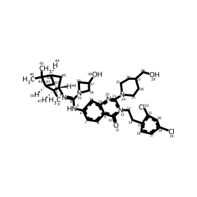 C[C@@H]1[C@@H](/N=C(/Nc2ccc3c(=O)n(CCc4ccc(Cl)cc4Cl)c(N4CCC(CO)CC4)nc3c2)N2CC(O)C2)C[C@H]2C[C@@H]1C2(C)C